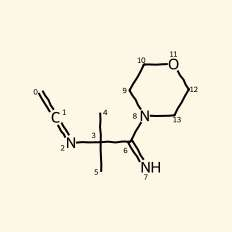 C=C=NC(C)(C)C(=N)N1CCOCC1